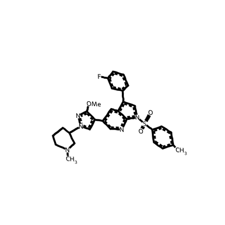 COc1nn(C2CCCN(C)C2)cc1-c1cnc2c(c1)c(-c1cccc(F)c1)cn2S(=O)(=O)c1ccc(C)cc1